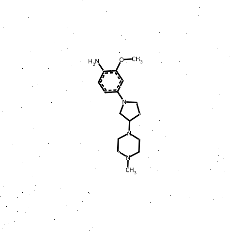 COc1cc(N2CCC(N3CCN(C)CC3)C2)ccc1N